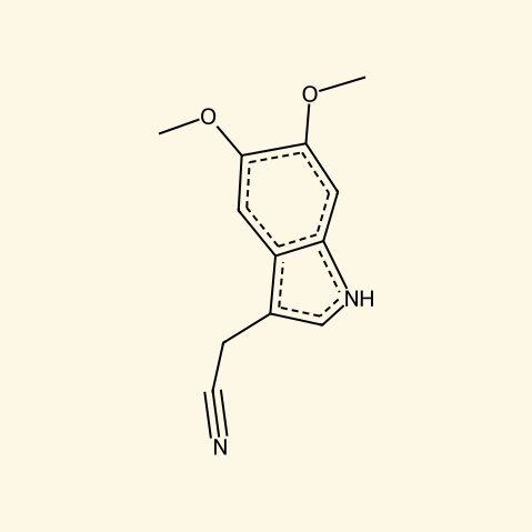 COc1cc2[nH]cc(CC#N)c2cc1OC